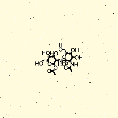 CC(=O)N[C@H]1C(O)O[C@H](CO)[C@@H](O)[C@@H]1O.CC(=O)OC1O[C@H](CO)[C@@H](O)[C@H](O)[C@H]1N